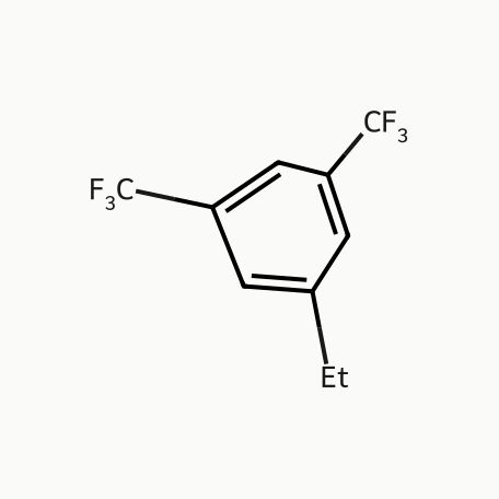 CCc1cc(C(F)(F)F)cc(C(F)(F)F)c1